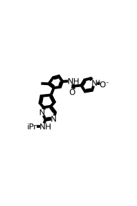 Cc1ccc(NC(=O)c2cc[n+]([O-])cc2)cc1-c1ccc2nc(NC(C)C)ncc2c1